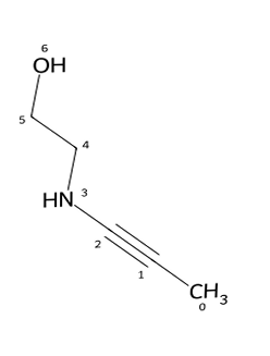 CC#CNCCO